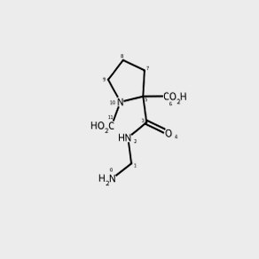 NCNC(=O)C1(C(=O)O)CCCN1C(=O)O